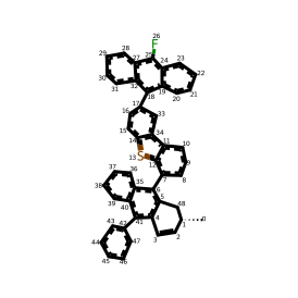 C[C@@H]1C=Cc2c(c(-c3cccc4c3sc3ccc(-c5c6ccccc6c(F)c6ccccc56)cc34)c3ccccc3c2-c2ccccc2)C1